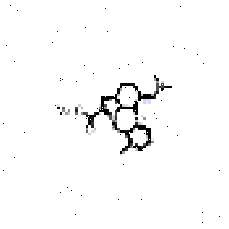 COC(=O)c1cc2c(n1Cc1ccccc1C)C(=O)/C(=C/N(C)C)CC2